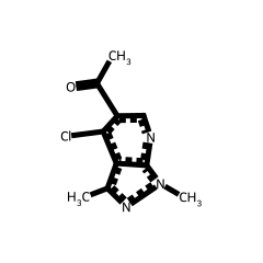 CC(=O)c1cnc2c(c(C)nn2C)c1Cl